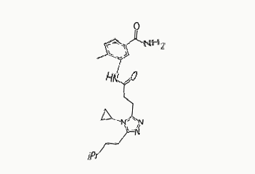 Cc1ccc(C(N)=O)cc1NC(=O)CCc1nnc(CCC(C)C)n1C1CC1